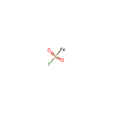 O=[S](=O)(F)[Fe]